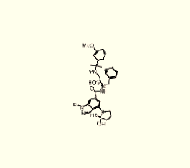 CCn1ncc2c(N3CCCS3(O)O)cc(C(=O)N[C@@H](Cc3ccccc3)[C@H](O)CNC(C)(C)c3cccc(OC)c3)cc21